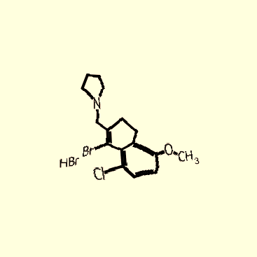 Br.COc1ccc(Cl)c2c1CCC(CN1CCCC1)=C2Br